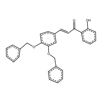 O=C(C=Cc1ccc(OCc2ccccc2)c(OCc2ccccc2)c1)c1ccccc1O